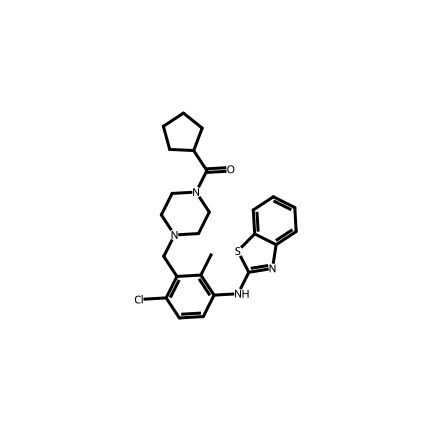 Cc1c(Nc2nc3ccccc3s2)ccc(Cl)c1CN1CCN(C(=O)C2CCCC2)CC1